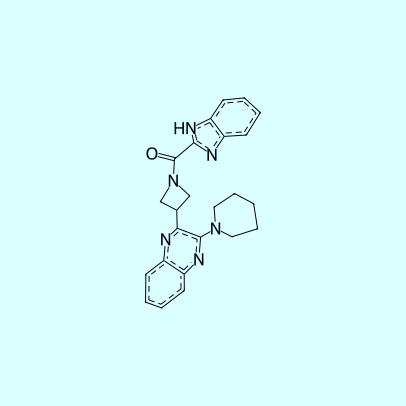 O=C(c1nc2ccccc2[nH]1)N1CC(c2nc3ccccc3nc2N2CCCCC2)C1